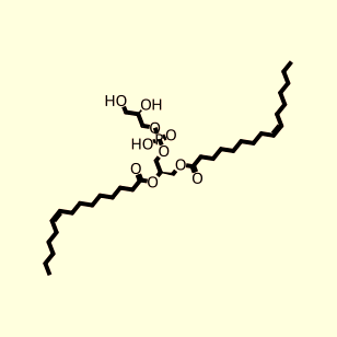 CCCCC/C=C\CCCCCCCC(=O)O[C@H](COC(=O)CCCCCCC/C=C\CCCCCC)COP(=O)(O)OC[C@@H](O)CO